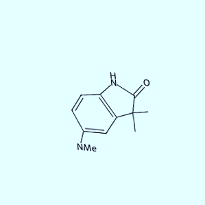 CNc1ccc2c(c1)C(C)(C)C(=O)N2